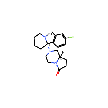 Cc1cc(F)ccc1[C@@]1(N2CCN3C(=O)CC[C@H]3C2)CCCCN1C(=O)O